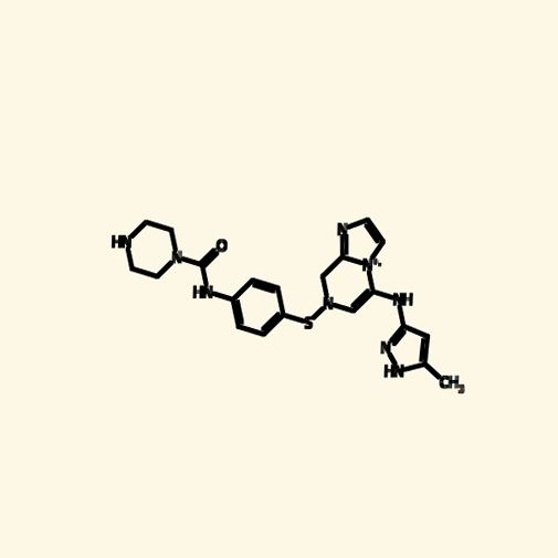 Cc1cc(NC2=CN(Sc3ccc(NC(=O)N4CCNCC4)cc3)CC3=NC=C[N+]23)n[nH]1